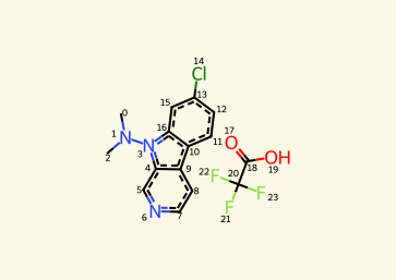 CN(C)n1c2cnccc2c2ccc(Cl)cc21.O=C(O)C(F)(F)F